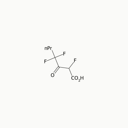 CCCC(F)(F)C(=O)C(F)C(=O)O